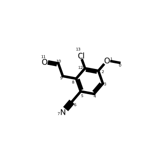 COc1ccc(C#N)c(CC=O)c1Cl